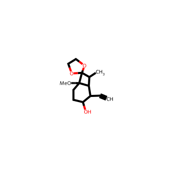 C#CC1C(O)CCC2(OC)C1C(C)C21OCCO1